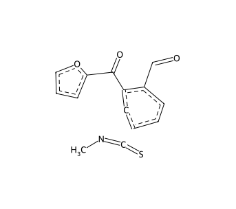 CN=C=S.O=Cc1ccccc1C(=O)c1ccco1